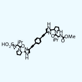 COC(=O)N[C@H](C(=O)N1CCCC1c1nc(C#Cc2ccc(C#Cc3c[nH]c([C@@H]4CCCN4C(=O)[C@H](C(C)C)N(C)C(=O)O)n3)cc2)c[nH]1)C(C)C